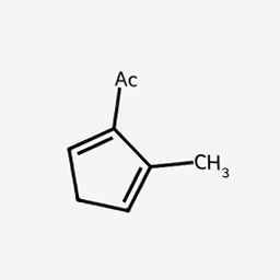 CC(=O)C1=CCC=C1C